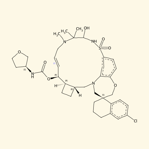 CN1C/C=C/[C@H](OC(=O)N[C@H]2CCOC2)[C@@H]2CC[C@H]2CN2C[C@@]3(CCCc4cc(Cl)ccc43)COc3ccc(cc32)S(=O)(=O)NC(O)C1(C)C